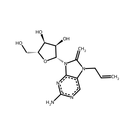 C=CCN1C(=C)N([C@@H]2O[C@H](CO)[C@@H](O)[C@H]2O)c2nc(N)ncc21